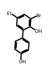 CCc1cc(Br)c(O)c(-c2ccc(O)cc2)c1